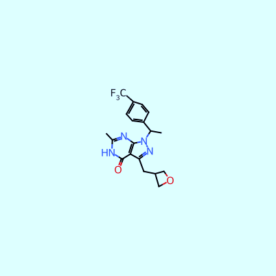 Cc1nc2c(c(CC3COC3)nn2C(C)c2ccc(C(F)(F)F)cc2)c(=O)[nH]1